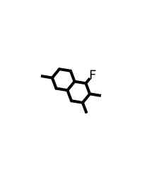 CC1CCC2C(C1)CC(C)C(C)C2F